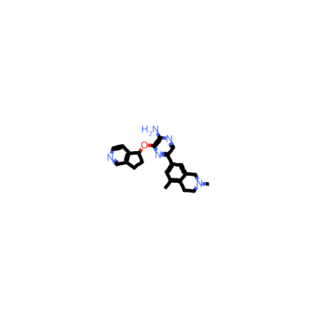 Cc1cc(-c2cnc(N)c(OC3CCc4cnccc43)n2)cc2c1CCN(C)C2